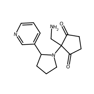 NCC1(N2CCCC2c2cccnc2)C(=O)CCC1=O